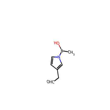 CB(O)n1ccc(CC=O)c1